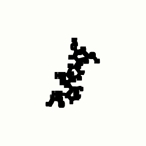 C=CC(=O)Nc1cnn(C)c1-c1n[nH]c2c1CCC(c1cc(OC)cc(OC)c1)C2